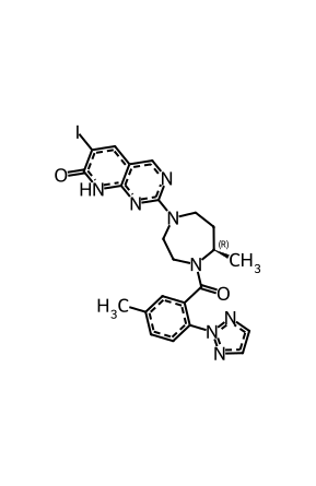 Cc1ccc(-n2nccn2)c(C(=O)N2CCN(c3ncc4cc(I)c(=O)[nH]c4n3)CC[C@H]2C)c1